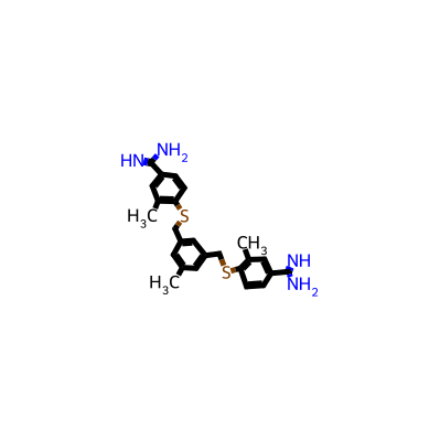 Cc1cc(CSc2ccc(C(=N)N)cc2C)cc(CSc2ccc(C(=N)N)cc2C)c1